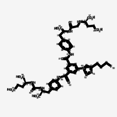 O=C(O)CC[C@H](NCC(=O)NC(Cc1ccc(NC(=O)c2cc(C(=O)Nc3ccc(C[C@H](NC(=O)N[C@@H](CCC(=O)O)C(=O)O)C(=O)O)cc3)cc(-n3cc(CCCF)nn3)c2)cc1)C(=O)O)C(=O)O